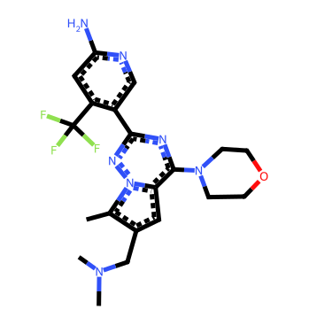 Cc1c(CN(C)C)cc2c(N3CCOCC3)nc(-c3cnc(N)cc3C(F)(F)F)nn12